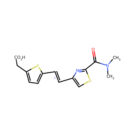 CN(C)C(=O)c1nc(/C=C/c2ccc(CC(=O)O)s2)cs1